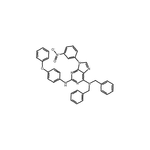 O=[N+]([O-])c1cccc(-n2cnc3c(N(Cc4ccccc4)Cc4ccccc4)nc(Nc4ccc(Oc5ccccc5)cc4)nc32)c1